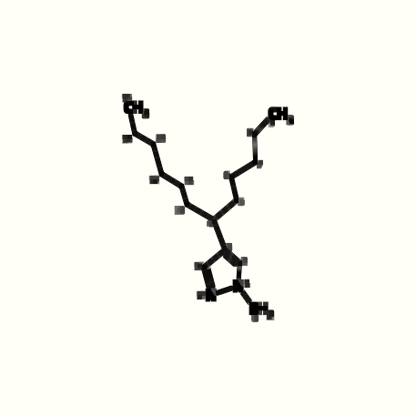 Bn1cc(C(CCCCC)CCCCCC)cn1